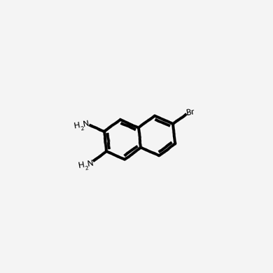 Nc1cc2ccc(Br)cc2cc1N